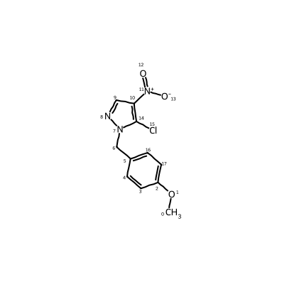 COc1ccc(Cn2ncc([N+](=O)[O-])c2Cl)cc1